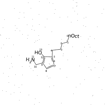 CCCCCCCCCCCCc1c[c]cc(CN)c1O